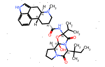 CCC(C)(C)[C@H]1C(=O)N2CCC[C@H]2[C@]2(O)O[C@](NC(=O)[C@@H]3C[C@@H]4c5cccc6[nH]cc(c56)C[C@H]4N(C)C3)(C(C)C)C(=O)N12